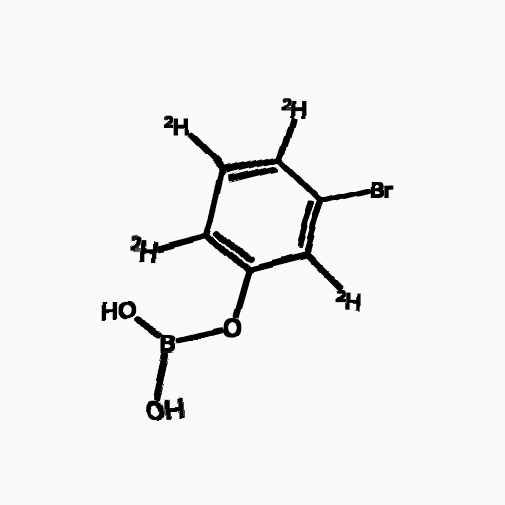 [2H]c1c([2H])c(Br)c([2H])c(OB(O)O)c1[2H]